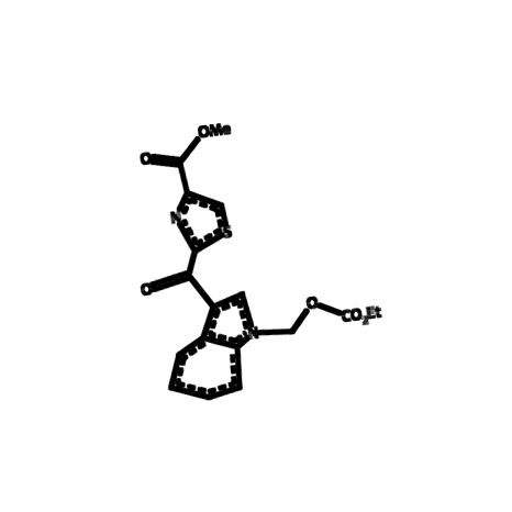 CCOC(=O)OCn1cc(C(=O)c2nc(C(=O)OC)cs2)c2ccccc21